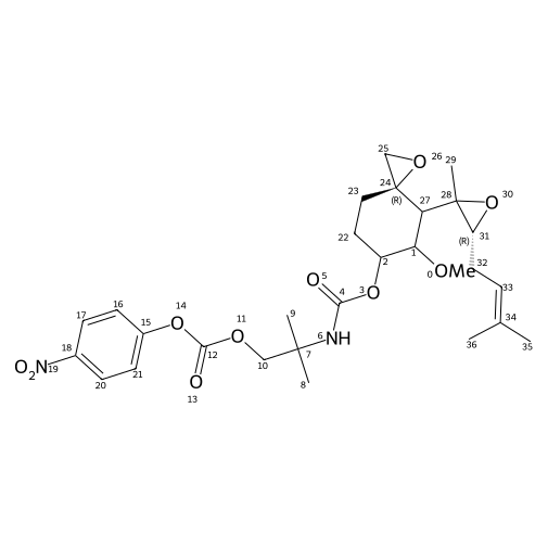 COC1C(OC(=O)NC(C)(C)COC(=O)Oc2ccc([N+](=O)[O-])cc2)CC[C@]2(CO2)C1C1(C)O[C@@H]1CC=C(C)C